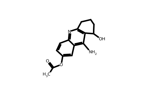 CC(=O)Oc1ccc2nc3c(c(N)c2c1)C(O)CCC3